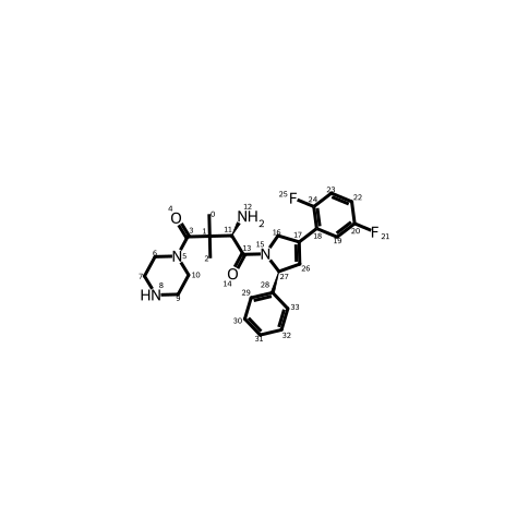 CC(C)(C(=O)N1CCNCC1)[C@@H](N)C(=O)N1CC(c2cc(F)ccc2F)=C[C@H]1c1ccccc1